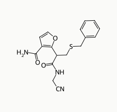 N#CCNC(=O)C(CSCc1ccccc1)c1occc1C(N)=O